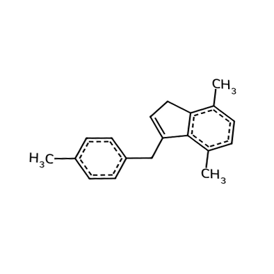 Cc1ccc(CC2=CCc3c(C)ccc(C)c32)cc1